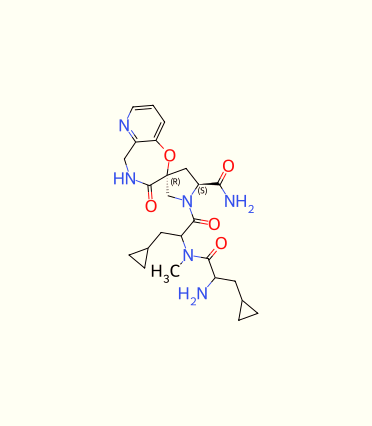 CN(C(=O)C(N)CC1CC1)C(CC1CC1)C(=O)N1C[C@@]2(C[C@H]1C(N)=O)Oc1cccnc1CNC2=O